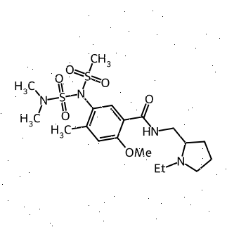 CCN1CCCC1CNC(=O)c1cc(N(S(C)(=O)=O)S(=O)(=O)N(C)C)c(C)cc1OC